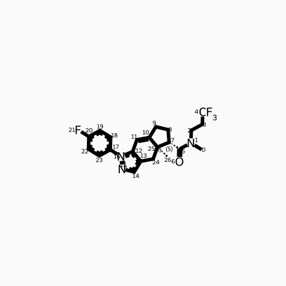 CN(CCC(F)(F)F)C(=O)[C@H]1CCC2=Cc3c(cnn3-c3ccc(F)cc3)C[C@@]21C